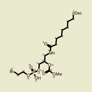 CCCCCCCCCCCCCCCCCC(=O)NCC(COP(=O)(O)OCCBr)OC(=O)OC